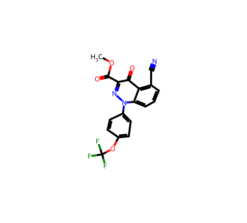 COC(=O)c1nn(-c2ccc(OC(F)(F)F)cc2)c2cccc(C#N)c2c1=O